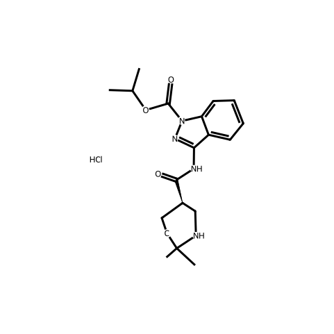 CC(C)OC(=O)n1nc(NC(=O)[C@@H]2CCC(C)(C)NC2)c2ccccc21.Cl